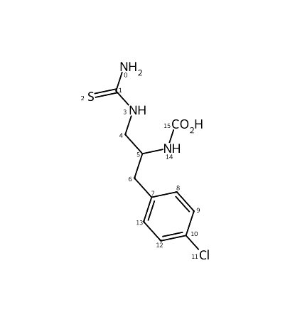 NC(=S)NCC(Cc1ccc(Cl)cc1)NC(=O)O